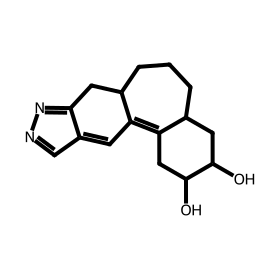 OC1CC2=C3C=C4C=NN=C4CC3CCCC2CC1O